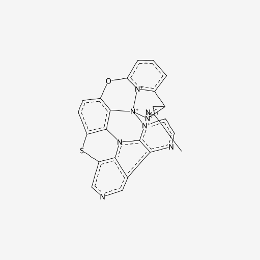 Cc1cc2n(n1)[N+]13c4c(ccc5c4-n4c6c(cncc6c6ncc[n+]1c64)S5)Oc1cccc-2[n+]13